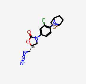 [N-]=[N+]=NC[C@H]1CN(c2ccc(N3C4CCC3SC4)c(F)c2)C(=O)O1